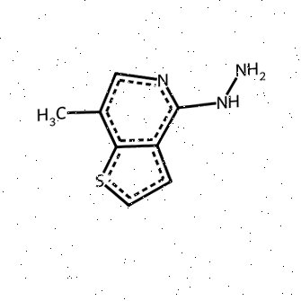 Cc1cnc(NN)c2ccsc12